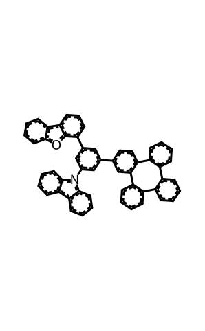 c1ccc2c(c1)-c1ccccc1-c1ccc(-c3cc(-c4cccc5c4oc4ccccc45)cc(-n4c5ccccc5c5ccccc54)c3)cc1-c1ccccc1-2